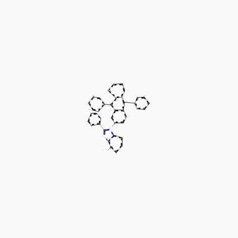 Cc1cccc2c1nc(-c1ccccc1)n2-c1ccc2c(-c3ccccc3)c3ccccc3c(-c3ccccc3)c2c1